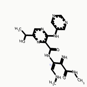 CN/C=C(/NC(=O)c1nc(C(C)O)cnc1Nc1cncnc1)C(=N)C(=O)NC